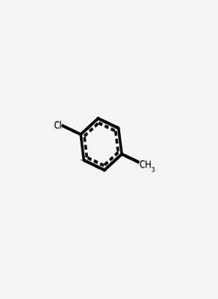 Cc1c[c]c(Cl)cc1